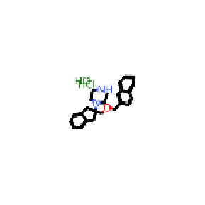 Cl.Cl.c1ccc2c(c1)CC(COCc1ccc3ccccc3c1)(N1CCNCC1)C2